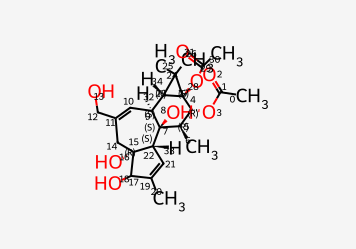 CC(=O)O[C@@H]1[C@@H](C)[C@@]2(O)[C@@H](C=C(CO)C[C@]3(O)C(O)C(C)=C[C@@H]23)[C@@H]2C(C)(C)[C@]12OC(C)=O